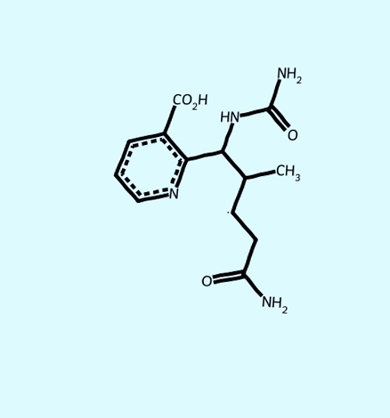 CC([CH]CC(N)=O)C(NC(N)=O)c1ncccc1C(=O)O